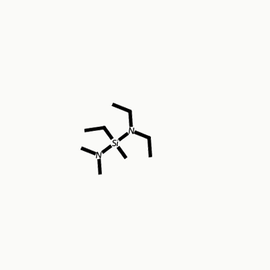 CCN(CC)[Si](C)(CC)N(C)C